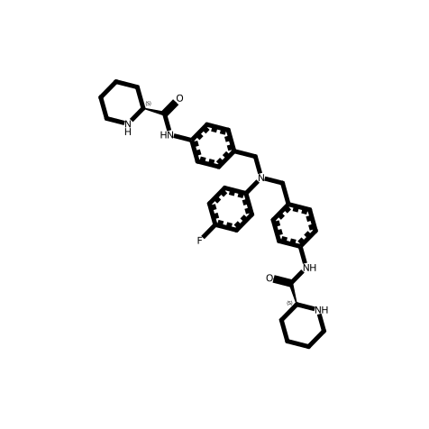 O=C(Nc1ccc(CN(Cc2ccc(NC(=O)[C@@H]3CCCCN3)cc2)c2ccc(F)cc2)cc1)[C@@H]1CCCCN1